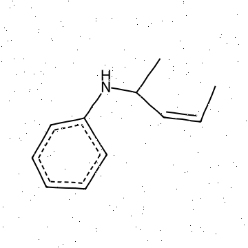 C/C=C\C(C)Nc1ccccc1